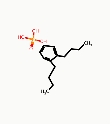 CCCCc1ccccc1CCCC.O=P(O)(O)O